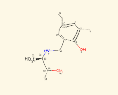 Cc1cc(C)c(O)c(CN[C@H](C(=O)O)[C@@H](C)O)c1